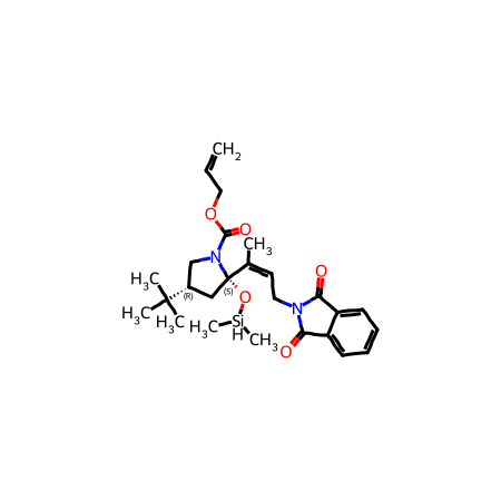 C=CCOC(=O)N1C[C@@H](C(C)(C)C)C[C@]1(O[SiH](C)C)C(C)=CCN1C(=O)c2ccccc2C1=O